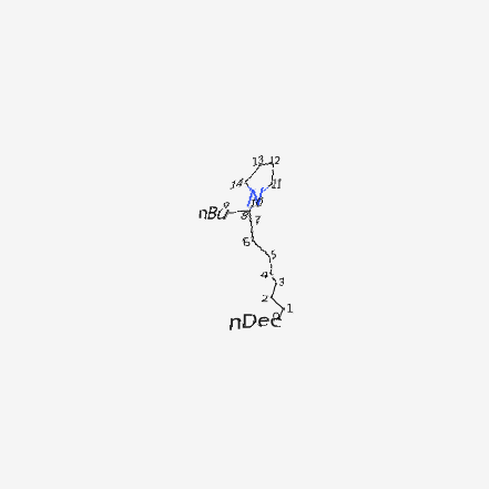 CCCCCCCCCCCCCCCCCC(CCCC)N1CCCC1